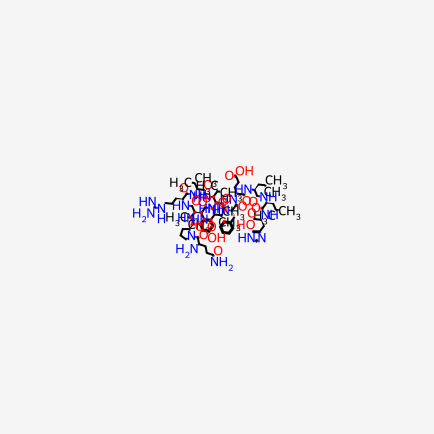 CC(C)C[C@H](NC(=O)[C@H](CC(C)C)NC(=O)[C@H](CCC(=O)O)NC(=O)[C@H](Cc1ccccc1)NC(=O)[C@H](CO)NC(=O)[C@H](CC(C)C)NC(=O)[C@@H](NC(=O)[C@@H](NC(=O)[C@@H](NC(=O)[C@H](CCCNC(=N)N)NC(=O)[C@H](Cc1ccc(O)cc1)NC(=O)[C@@H]1CCCN1C(=O)[C@@H](N)CCC(N)=O)C(C)C)C(C)C)C(C)C)C(=O)N[C@@H](Cc1c[nH]cn1)C(=O)O